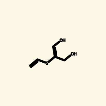 C=CSC(=CO)CO